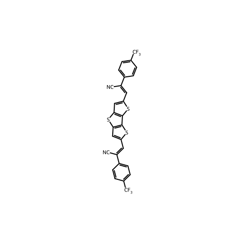 N#C/C(=C\c1cc2sc3cc(/C=C(\C#N)c4ccc(C(F)(F)F)cc4)sc3c2s1)c1ccc(C(F)(F)F)cc1